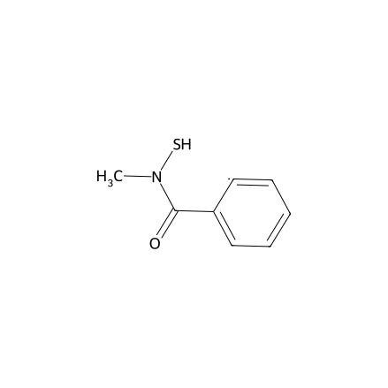 CN(S)C(=O)c1[c]cccc1